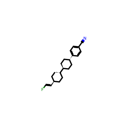 N#Cc1ccc([C@H]2CC[C@H]([C@H]3CC[C@H](C=CF)CC3)CC2)cc1